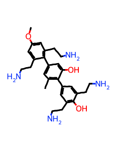 COc1cc(CCN)c(-c2cc(C)c(-c3cc(CCN)c(O)c(CCN)c3)c(O)c2)c(CCN)c1